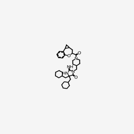 N=C1NC(CC2CCCCC2)(CC2CCCCC2)C(=O)N1CC1CCN(C(=O)C2CC3CC3c3ccccc3O2)CC1